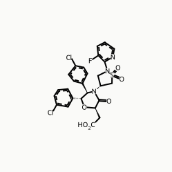 O=C(O)C[C@H]1O[C@H](c2cccc(Cl)c2)[C@@H](c2ccc(Cl)cc2)N([C@@H]2CN(c3ncccc3F)S(=O)(=O)C2)C1=O